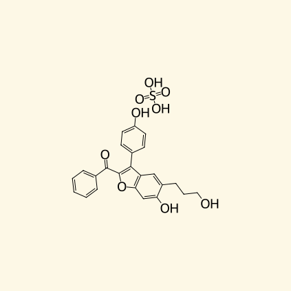 O=C(c1ccccc1)c1oc2cc(O)c(CCCO)cc2c1-c1ccc(O)cc1.O=S(=O)(O)O